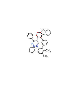 Cc1cc2c(c(-c3cccc(-c4cccc5[se]c6ccccc6c45)c3-c3nnnc(-c4ccccc4)c3-c3ccccc3)c1C)Cc1ccccc1-2